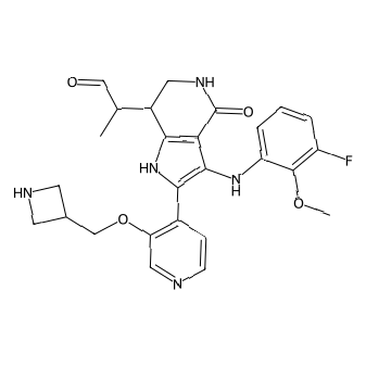 COc1c(F)cccc1Nc1c(-c2ccncc2OCC2CNC2)[nH]c2c1C(=O)NCC2C(C)C=O